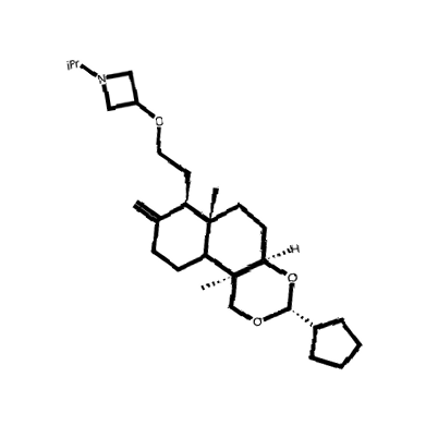 C=C1CCC2[C@]3(C)CO[C@@H](C4CCCC4)O[C@@H]3CC[C@@]2(C)[C@@H]1CCOC1CN(C(C)C)C1